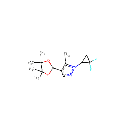 Cc1c(B2OC(C)(C)C(C)(C)O2)cnn1C1CC1(F)F